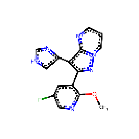 COc1ncc(F)cc1-c1nn2cccnc2c1-c1c[nH]cn1